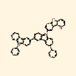 c1ccc(-c2ccc3c(c2)c2cc(-c4ccc5c(c4)c4ccccc4n5-c4ccccc4)ccc2n3-c2ccc3oc4cccnc4c3c2)cc1